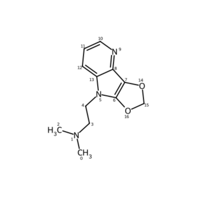 CN(C)CCn1c2c(c3ncccc31)OCO2